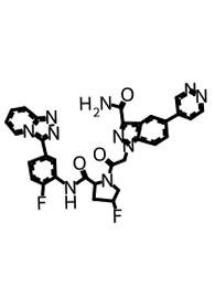 NC(=O)c1nn(CC(=O)N2CC(F)CC2C(=O)Nc2cc(-c3nnc4ccccn34)ccc2F)c2ccc(-c3ccnnc3)cc12